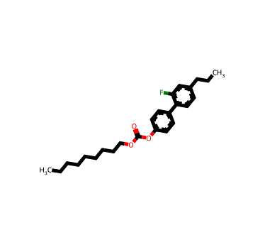 CCCCCCCCCOC(=O)Oc1ccc(-c2ccc(CCC)cc2F)cc1